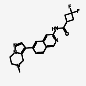 CN1CCn2ncc(-c3ccc4cnc(NC(=O)C5CC(F)(F)C5)cc4c3)c2C1